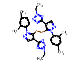 CCn1nnc(-c2cnn(-c3ccc(C)cc3C)c2SSc2c(-c3nnn(CC)n3)cnn2-c2ccc(C)cc2C)n1